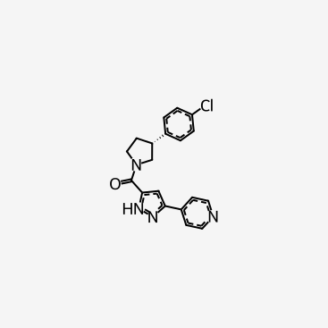 O=C(c1cc(-c2ccncc2)n[nH]1)N1CC[C@H](c2ccc(Cl)cc2)C1